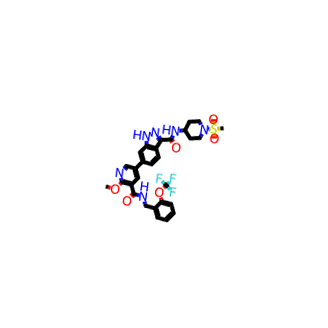 COc1ncc(-c2ccc3c(C(=O)NC4CCN(S(C)(=O)=O)CC4)n[nH]c3c2)cc1C(=O)NCc1ccccc1OC(F)(F)F